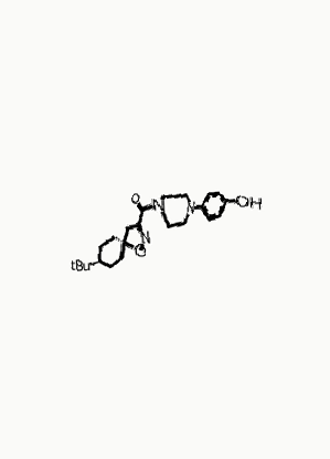 CC(C)(C)[C@H]1CC[C@]2(CC1)CC(C(=O)N1CCN(c3ccc(O)cc3)CC1)=NO2